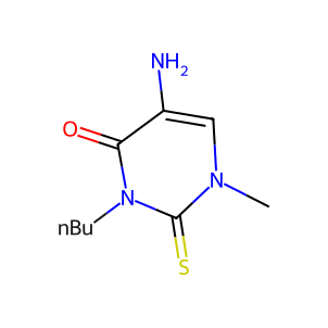 CCCCn1c(=O)c(N)cn(C)c1=S